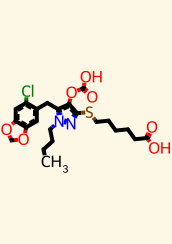 CCCCn1nc(SCCCCCC(=O)O)c(OC(=O)O)c1Cc1cc2c(cc1Cl)OCO2